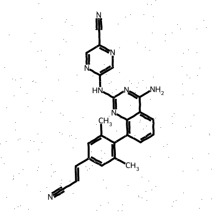 Cc1cc(/C=C/C#N)cc(C)c1-c1cccc2c(N)nc(Nc3cnc(C#N)cn3)nc12